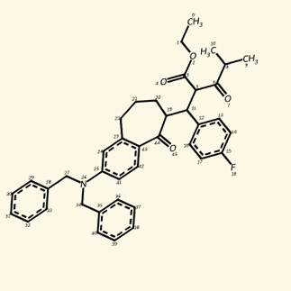 CCOC(=O)C(C(=O)C(C)C)C(c1ccc(F)cc1)C1CCCc2cc(N(Cc3ccccc3)Cc3ccccc3)ccc2C1=O